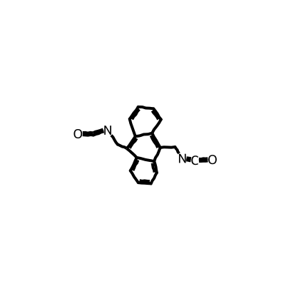 O=C=NCc1c2ccccc2c(CN=C=O)c2ccccc12